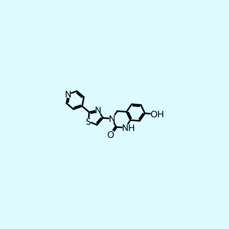 O=C1Nc2cc(O)ccc2CN1c1csc(-c2ccncc2)n1